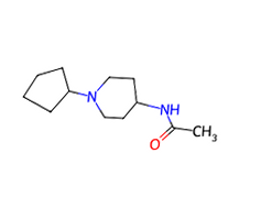 CC(=O)NC1CCN(C2CCCC2)CC1